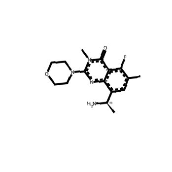 Cc1cc([C@@H](C)N)c2nc(N3CCOCC3)n(C)c(=O)c2c1F